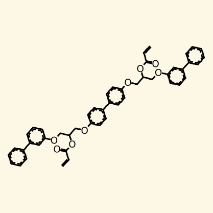 C=CC(=O)OC(COc1ccc(-c2ccc(OCC(COc3cccc(-c4ccccc4)c3)OC(=O)C=C)cc2)cc1)COc1cccc(-c2ccccc2)c1